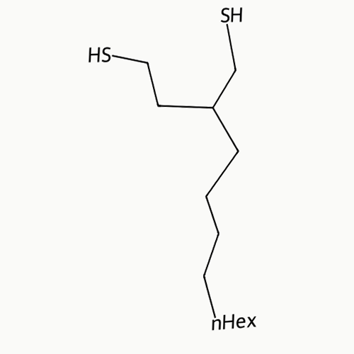 CCCCCCCCCCC(CS)CCS